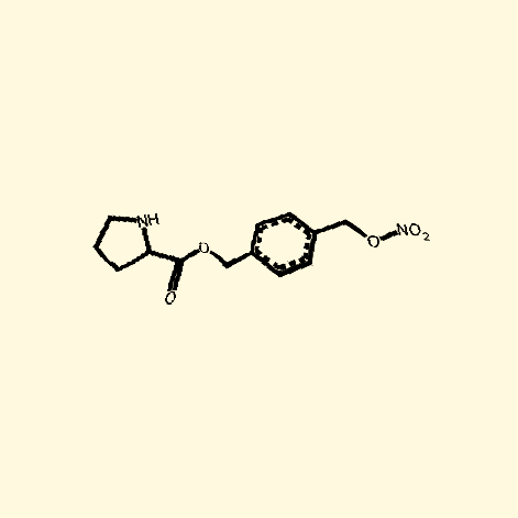 O=C(OCc1ccc(CO[N+](=O)[O-])cc1)C1CCCN1